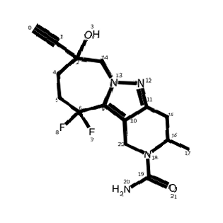 C#CC1(O)CCC(F)(F)c2c3c(nn2C1)CC(C)N(C(N)=O)C3